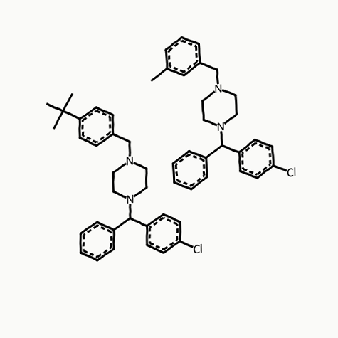 CC(C)(C)c1ccc(CN2CCN(C(c3ccccc3)c3ccc(Cl)cc3)CC2)cc1.Cc1cccc(CN2CCN(C(c3ccccc3)c3ccc(Cl)cc3)CC2)c1